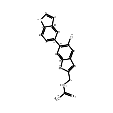 CC(=O)NCc1cc2cc(Cl)c(-c3ccc4sccc4c3)cc2[nH]1